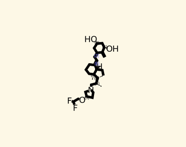 C=C1/C(=C\C=C2/CCC[C@]3(C)[C@@H]([C@H](C)CN4CC[C@H](OCC(F)F)C4)CC[C@@H]23)C[C@@H](O)C[C@@H]1O